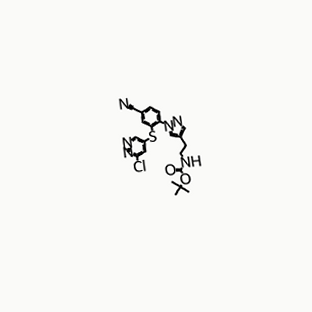 CC(C)(C)OC(=O)NCCc1cnn(-c2ccc(C#N)cc2Sc2cnnc(Cl)c2)c1